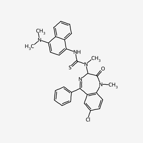 CN(C)c1ccc(NC(=S)N(C)C2N=C(c3ccccc3)c3cc(Cl)ccc3N(C)C2=O)c2ccccc12